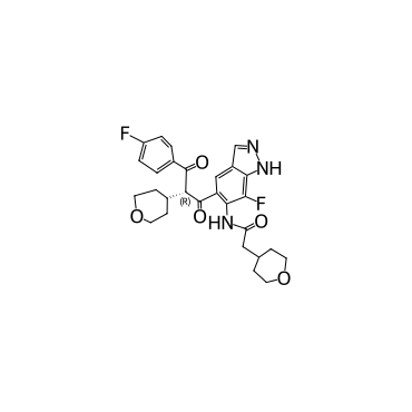 O=C(CC1CCOCC1)Nc1c(C(=O)[C@@H](C(=O)c2ccc(F)cc2)C2CCOCC2)cc2cn[nH]c2c1F